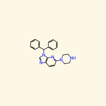 c1ccc(C(c2ccccc2)n2cnc3ccc(N4CCNCC4)nc32)cc1